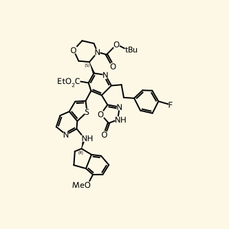 CCOC(=O)c1c([C@H]2COCCN2C(=O)OC(C)(C)C)nc(CCc2ccc(F)cc2)c(-c2n[nH]c(=O)o2)c1-c1cc2ccnc(N[C@@H]3CCc4c(OC)cccc43)c2s1